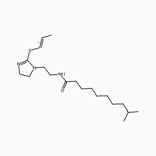 C/C=C/SC1=NCCN1CCNC(=O)CCCCCCCC(C)C